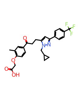 Cc1cc(C(=O)CCc2cc(-c3ccc(C(F)(F)F)cc3)nn2CC2CC2)ccc1OCC(=O)O